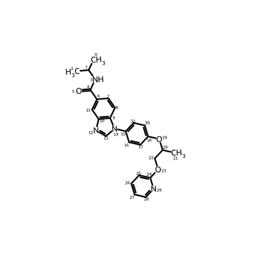 CC(C)NC(=O)c1ccc2c(c1)ncn2-c1ccc(OC(C)COc2ccccn2)cc1